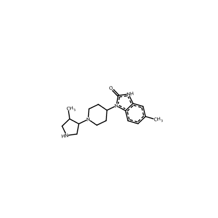 Cc1ccc2c(c1)[nH]c(=O)n2C1CCN(C2CNCC2C)CC1